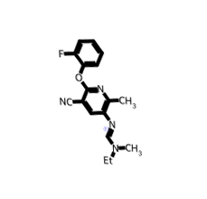 CCN(C)/C=N/c1cc(C#N)c(Oc2ccccc2F)nc1C